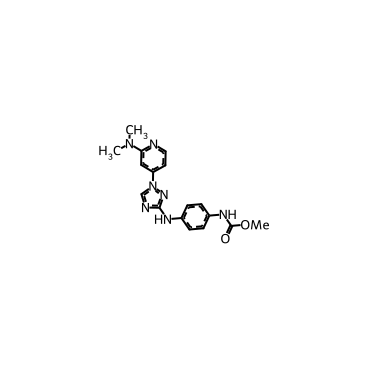 COC(=O)Nc1ccc(Nc2ncn(-c3ccnc(N(C)C)c3)n2)cc1